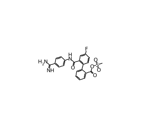 CS(=O)(=O)OC(=O)c1ccccc1-c1ccc(F)cc1C(=O)Nc1ccc(C(=N)N)cc1